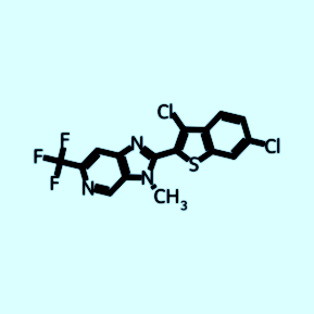 Cn1c(-c2sc3cc(Cl)ccc3c2Cl)nc2cc(C(F)(F)F)ncc21